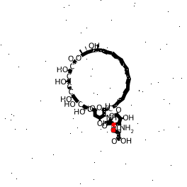 C[C@@H]1[C@H](O)[C@@H](C)/C=C/C=C/C=C/C=C/C=C/C=C/C=C/[C@H](O[C@@H]2O[C@H](C)[C@@H](O)[C@H](N)[C@@H]2O)C[C@@H]2O[C@](O)(C[C@@H](O)C[C@@H](O)[C@H](O)CC[C@@H](O)C[C@@H](O)CC(=O)O[C@H]1C)C[C@H](O)[C@H]2NC(=O)NCCC(=O)O